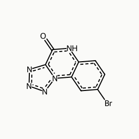 O=c1[nH]c2ccc(Br)cc2n2nnnc12